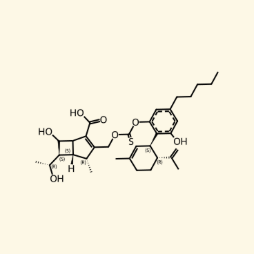 C=C(C)[C@@H]1CCC(C)=C[C@H]1c1c(O)cc(CCCCC)cc1OC(=S)OCC1=C(C(=O)O)C2C(O)[C@H]([C@@H](C)O)[C@H]2[C@H]1C